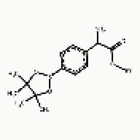 CC(C)OC(=O)C(N)c1ccc(B2OC(C)(C)C(C)(C)O2)cc1